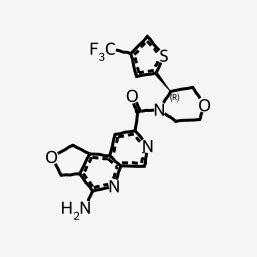 Nc1nc2cnc(C(=O)N3CCOC[C@@H]3c3cc(C(F)(F)F)cs3)cc2c2c1COC2